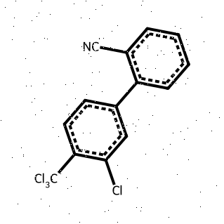 N#Cc1ccccc1-c1ccc(C(Cl)(Cl)Cl)c(Cl)c1